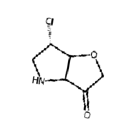 O=C1COC2C1NC[C@@H]2Cl